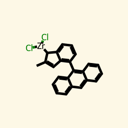 CC1=Cc2c(-c3c4ccccc4cc4ccccc34)cccc2[CH]1[Zr]([Cl])[Cl]